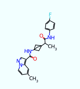 Cc1ccn2ncc(C(=O)NC34CC(C(C)C(=O)Nc5ccc(F)cc5)(C3)C4)c2c1